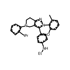 CCNc1ccc(-c2c3c(nn2-c2c(C)cccc2OC)CCN(c2ccccc2C(C)C)C3)cc1